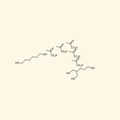 C=C(C)C(=O)O.C=C(C)C(=O)O.C=C(C)C(=O)O.C=C(C)C(=O)O.C=C(C)C(=O)O.OCCCC(CO)CO.OCCCCCCO